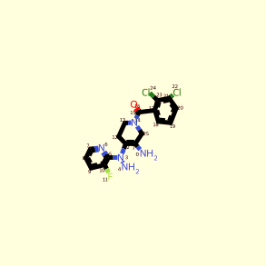 NC1=C(N(N)c2ncccc2F)CCN(C(=O)c2cccc(Cl)c2Cl)C1